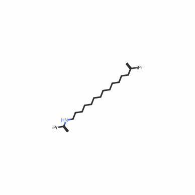 C=C(CCCCCCCCCCCCCNC(=C)C(C)C)C(C)C